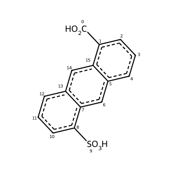 O=C(O)c1cccc2cc3c(S(=O)(=O)O)cccc3cc12